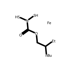 CCCCC(CC)COC(=O)N(S)S.[Fe]